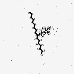 CCCCCCCCCC(CCCCCCC)N(C)C.O=S(=O)(O)O